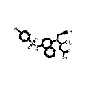 C#CCN(c1ccc(NS(=O)(=O)c2ccc(Cl)cc2)c2ccccc12)[C@@H](C)CC(=O)O